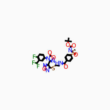 CC(C)(C)OC(=O)N=S(C)(=O)c1ccc(C(=O)NCCSc2nonc2-c2noc(=O)n2-c2ccc(F)c(C(F)F)c2)cc1